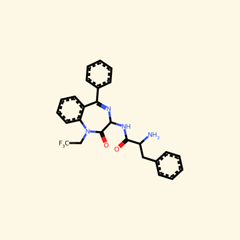 NC(Cc1ccccc1)C(=O)NC1N=C(c2ccccc2)c2ccccc2N(CC(F)(F)F)C1=O